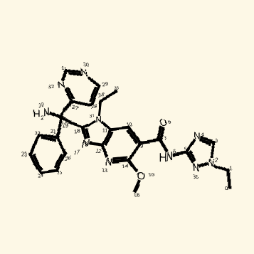 CCn1cnc(NC(=O)c2cc3c(nc2OC)nc(C(N)(c2ccccc2)c2ccncn2)n3CC)n1